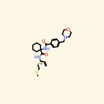 C=C[C@H](CCSC)NC(=O)C1(NC(=O)c2ccc(CN3CCOCC3)cc2)CCCCC1